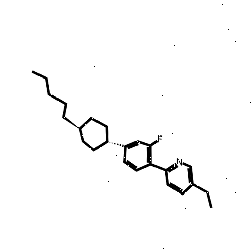 CCCCC[C@H]1CC[C@H](c2ccc(-c3ccc(CC)cn3)c(F)c2)CC1